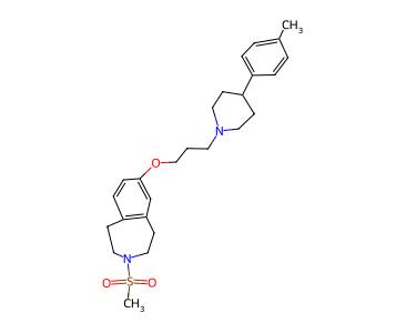 Cc1ccc(C2CCN(CCCOc3ccc4c(c3)CCN(S(C)(=O)=O)CC4)CC2)cc1